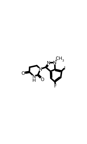 Cn1nc(N2CCC(=O)NC2=O)c2cc(F)cc(I)c21